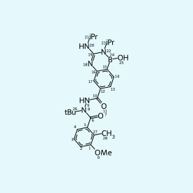 COc1cccc(C(=O)N(NC(=O)c2ccc3c(c2)N=C(NC(C)C)N(C(C)C)B3O)C(C)(C)C)c1C